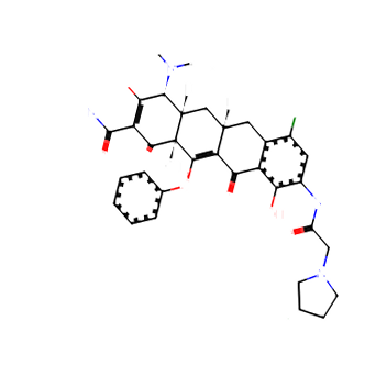 CN(C)[C@@H]1C(O)=C(C(N)=O)C(=O)[C@@]2(C)C(Oc3ccccc3)=C3C(=O)c4c(O)c(NC(=O)CN5CC[C@H](F)C5)cc(F)c4C[C@H]3C[C@@H]12